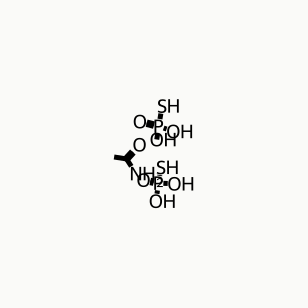 CC(N)=O.O=P(O)(O)S.O=P(O)(O)S